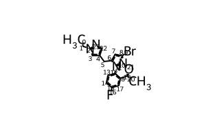 CCn1cc(Cc2cc(Br)nn2-c2ccc(F)cc2C(C)=O)cn1